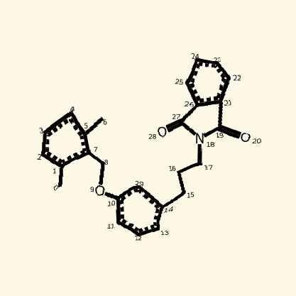 Cc1cccc(C)c1COc1cccc(CCCN2C(=O)c3ccccc3C2=O)c1